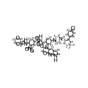 CC1(C)CCC(CN2CCN(c3ccc(C(=O)NS(=O)(=O)c4ccc(NC[C@]5(F)COCCO5)c([N+](=O)[O-])c4)c(N4CCOc5nc6[nH]ccc6cc54)c3)CC2)=C(c2ccc(Cl)cc2)C1